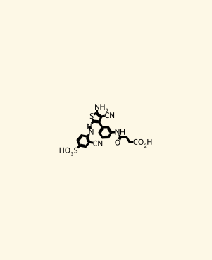 N#Cc1cc(S(=O)(=O)O)ccc1N=Nc1sc(N)c(C#N)c1-c1cccc(NC(=O)CCC(=O)O)c1